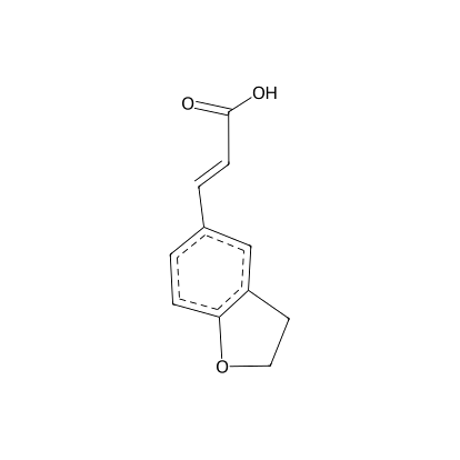 O=C(O)C=Cc1ccc2c(c1)CCO2